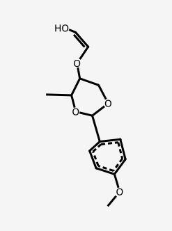 COc1ccc(C2OCC(O/C=C\O)C(C)O2)cc1